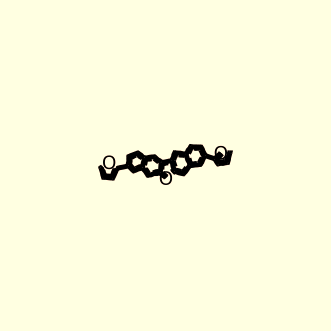 c1coc(-c2ccc3cc4c(cc3c2)oc2cc3cc(-c5ccco5)ccc3cc24)c1